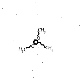 CCCCCc1cc(OCCCC)ccc1OCCCC